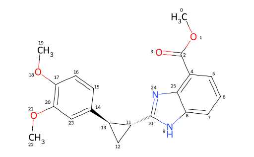 COC(=O)c1cccc2[nH]c([C@@H]3C[C@H]3c3ccc(OC)c(OC)c3)nc12